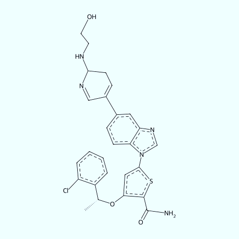 C[C@@H](Oc1cc(-n2cnc3cc(C4=CCC(NCCO)N=C4)ccc32)sc1C(N)=O)c1ccccc1Cl